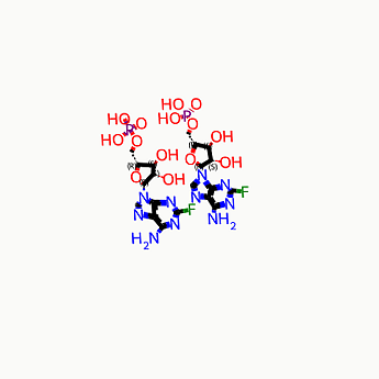 Nc1nc(F)nc2c1ncn2[C@@H]1O[C@H](COP(=O)(O)O)[C@@H](O)[C@@H]1O.Nc1nc(F)nc2c1ncn2[C@@H]1O[C@H](COP(=O)(O)O)[C@@H](O)[C@@H]1O